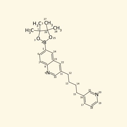 CC1(C)OB(c2ccc3ncc(CCCCc4c[c]cnc4)cc3c2)OC1(C)C